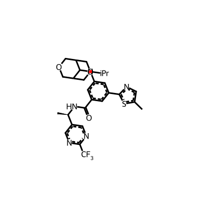 Cc1cnc(-c2cc(OC3C4COCC3CN(C(C)C)C4)cc(C(=O)N[C@H](C)c3cnc(C(F)(F)F)nc3)c2)s1